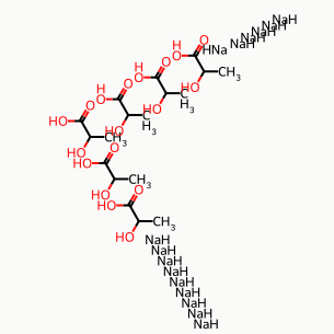 CC(O)C(=O)O.CC(O)C(=O)O.CC(O)C(=O)O.CC(O)C(=O)O.CC(O)C(=O)O.CC(O)C(=O)O.[NaH].[NaH].[NaH].[NaH].[NaH].[NaH].[NaH].[NaH].[NaH].[NaH].[NaH].[NaH].[NaH].[NaH].[NaH]